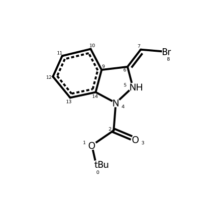 CC(C)(C)OC(=O)N1NC(=CBr)c2ccccc21